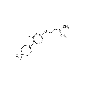 CN(C)CCOc1ccc(N2CCC3(CC2)CO3)c(F)c1